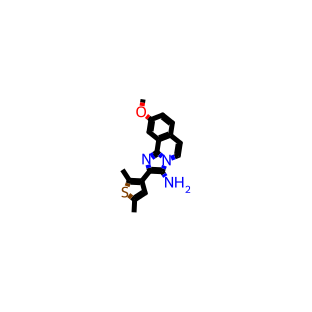 COc1ccc2ccn3c(N)c(-c4cc(C)sc4C)nc3c2c1